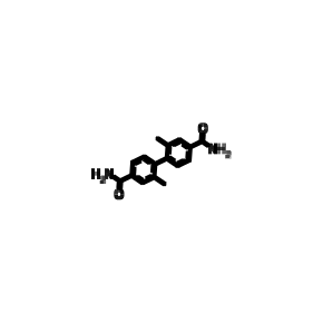 Cc1cc(C(N)=O)ccc1-c1ccc(C(N)=O)cc1C